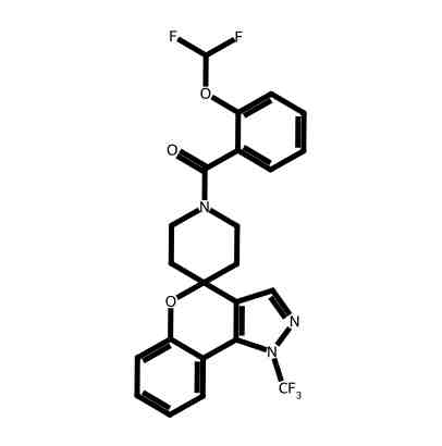 O=C(c1ccccc1OC(F)F)N1CCC2(CC1)Oc1ccccc1-c1c2cnn1C(F)(F)F